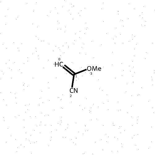 [CH]=C(C#N)OC